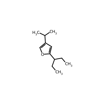 CCC(CC)c1cc(C(C)C)co1